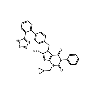 CCCCc1nc2c(c(=O)n(-c3ccccc3)c(=O)n2CC2CC2)n1Cc1ccc(-c2ccccc2-c2nnn[nH]2)cc1